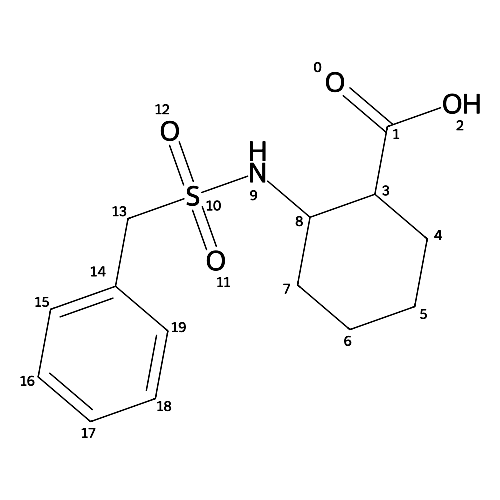 O=C(O)C1CCCCC1NS(=O)(=O)Cc1ccccc1